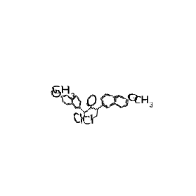 COc1ccc2cc(C(CCl)C(=O)C(CCl)c3ccc4cc(OC)ccc4c3)ccc2c1